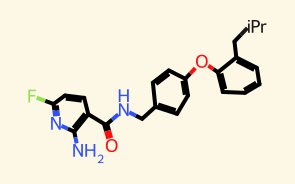 CC(C)Cc1ccccc1Oc1ccc(CNC(=O)c2ccc(F)nc2N)cc1